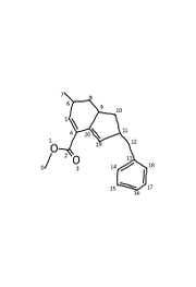 COC(=O)C1=CC(C)CC2CC(Cc3ccccc3)C=C12